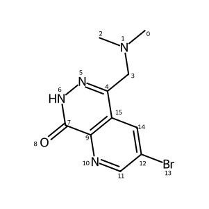 CN(C)Cc1n[nH]c(=O)c2ncc(Br)cc12